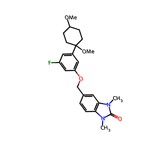 COC1CCC(OC)(c2cc(F)cc(OCc3ccc4c(c3)n(C)c(=O)n4C)c2)CC1